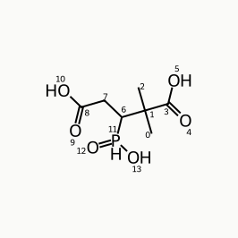 CC(C)(C(=O)O)C(CC(=O)O)[PH](=O)O